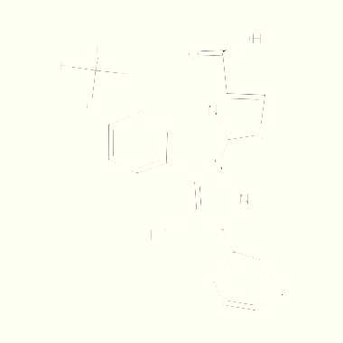 Cc1c(-c2ccccc2)nn(-c2nc(C(=O)O)cs2)c1-c1ccc(OC(F)(F)F)cc1